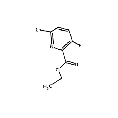 CCOC(=O)c1nc(Cl)ccc1F